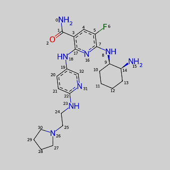 NC(=O)c1cc(F)c(N[C@@H]2CCCC[C@@H]2N)nc1Nc1ccc(NCCN2CCCC2)nc1